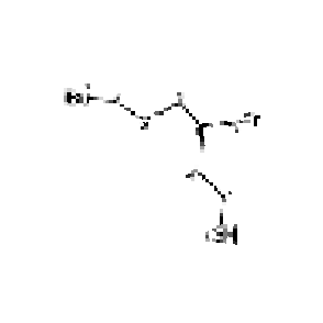 CCC(C)CCCC(CC)CCS